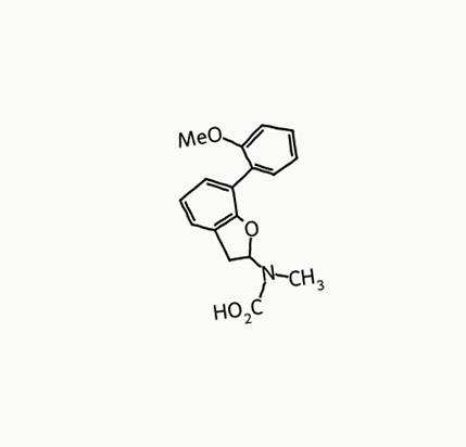 COc1ccccc1-c1cccc2c1OC(N(C)C(=O)O)C2